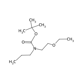 CCCN(CCOCC)C(=O)OC(C)(C)C